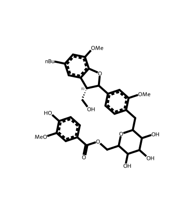 CCCCc1cc(OC)c2c(c1)[C@@H](CO)C(c1ccc(CC3OC(COC(=O)c4ccc(O)c(OC)c4)C(O)C(O)C3O)c(OC)c1)O2